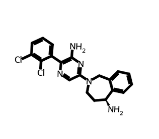 Nc1nc(N2CC[C@H](N)c3ccccc3C2)cnc1-c1cccc(Cl)c1Cl